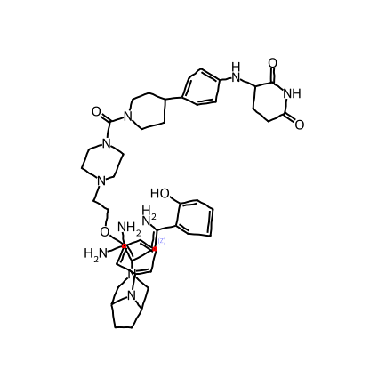 NC(N)=C(/C=C(\N)c1ccccc1O)N1CC2CCC(C1)N2c1cccc(OCCN2CCN(C(=O)N3CCC(c4ccc(NC5CCC(=O)NC5=O)cc4)CC3)CC2)c1